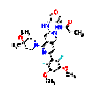 C=CC(=O)N[C@H]1COC[C@H]1Nc1cc2c(N3CCC(C)(OC)CC3)nc(-c3c(F)c(OC)cc(OC)c3F)cc2cn1